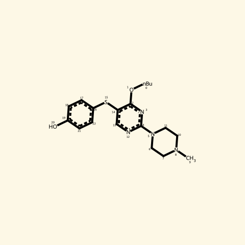 CCCCOc1nc(N2CCN(C)CC2)ncc1Sc1ccc(O)cc1